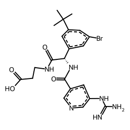 CC(C)(C)c1cc(Br)cc([C@H](NC(=O)c2cncc(NC(=N)N)c2)C(=O)NCCC(=O)O)c1